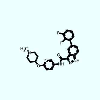 CN1CCC(Oc2ccc(NC(=O)c3n[nH]c4ccc(-c5cccc(F)c5F)cc34)cn2)CC1